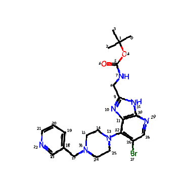 CC(C)(C)OC(=O)NCc1nc2c(N3CCN(Cc4cccnc4)CC3)c(Br)cnc2[nH]1